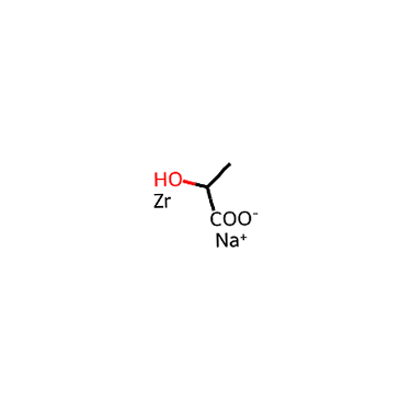 CC(O)C(=O)[O-].[Na+].[Zr]